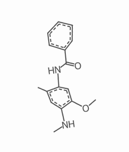 CNc1cc(C)c(NC(=O)c2ccccc2)cc1OC